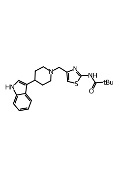 CC(C)(C)C(=O)Nc1nc(CN2CCC(c3c[nH]c4ccccc34)CC2)cs1